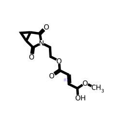 COC(O)/C=C/C(=O)OCCN1C(=O)C2CC2C1=O